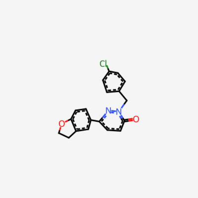 O=c1ccc(-c2ccc3c(c2)CCO3)nn1Cc1ccc(Cl)cc1